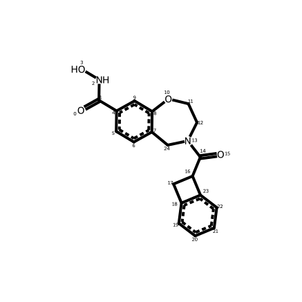 O=C(NO)c1ccc2c(c1)OCCN(C(=O)C1Cc3ccccc31)C2